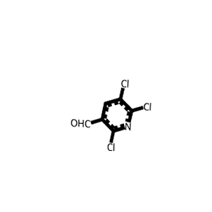 O=Cc1cc(Cl)c(Cl)nc1Cl